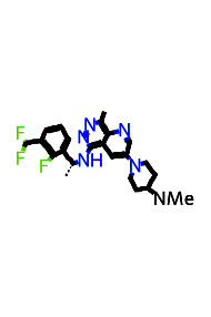 CNC1CCN(c2cnc3c(C)nnc(N[C@H](C)c4cccc(C(F)F)c4F)c3c2)CC1